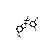 Nc1ccc2c(c1)CC(c1cc(Cl)cc(Cl)c1)(C(F)(F)F)O2